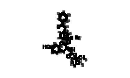 CC(C)(C)OC(=O)N[C@@H](Cc1ccc(O)cc1)C(=O)O[C@H]1C[N+]2(CC(=O)c3ccccc3)CCC1CC2.[Br-]